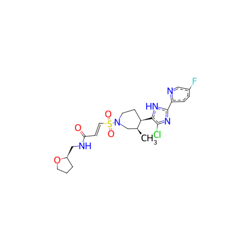 C[C@H]1CN(S(=O)(=O)C=CC(=O)NC[C@H]2CCCO2)CC[C@H]1c1[nH]c(-c2ccc(F)cn2)nc1Cl